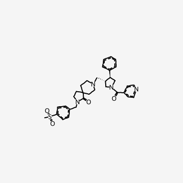 CS(=O)(=O)c1ccc(CN2CCC3(CCN(C[C@H]4CN(C(=O)c5ccncc5)C[C@@H]4c4ccccc4)CC3)C2=O)cc1